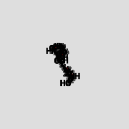 Cc1c2cc[n+](CCCCCNC(=O)C(CCCCNC(=O)OC(C)(C)C)NC(=O)OCC3c4ccccc4-c4ccccc43)cc2c(C)c2c1[nH]c1ccc(O)cc12